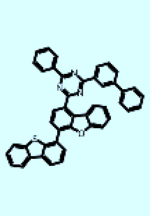 c1ccc(-c2cccc(-c3nc(-c4ccccc4)nc(-c4ccc(-c5cccc6c5sc5ccccc56)c5oc6ccccc6c45)n3)c2)cc1